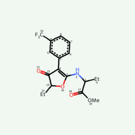 CCC(NC1=C(c2cccc(C(F)(F)F)c2)C(=O)C(CC)O1)C(=O)OC